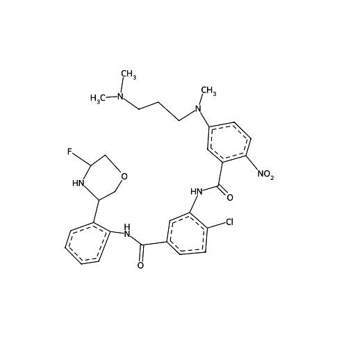 CN(C)CCCN(C)c1ccc([N+](=O)[O-])c(C(=O)Nc2cc(C(=O)Nc3ccccc3C3COCC(F)N3)ccc2Cl)c1